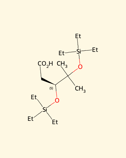 CC[Si](CC)(CC)O[C@@H](CC(=O)O)C(C)(C)O[Si](CC)(CC)CC